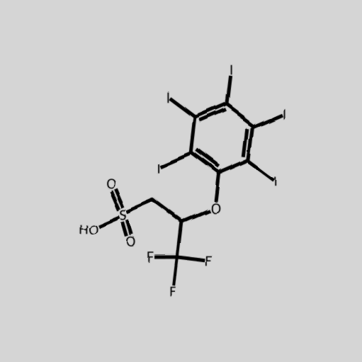 O=S(=O)(O)CC(Oc1c(I)c(I)c(I)c(I)c1I)C(F)(F)F